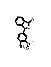 Nc1ccc(C2OC(=O)c3ccccc32)cc1[N+](=O)[O-]